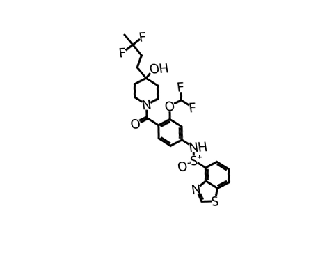 CC(F)(F)CCC1(O)CCN(C(=O)c2ccc(N[S+]([O-])c3cccc4scnc34)cc2OC(F)F)CC1